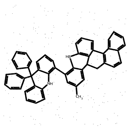 Cc1cc(-c2cccc3c2Nc2ccccc2C3(c2ccccc2)c2ccccc2)c2c(c1)C1Cc3ccc4ccccc4c3-c3cccc(c31)B2